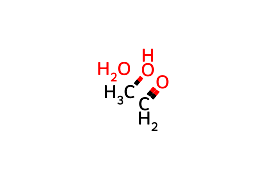 C=O.CO.O